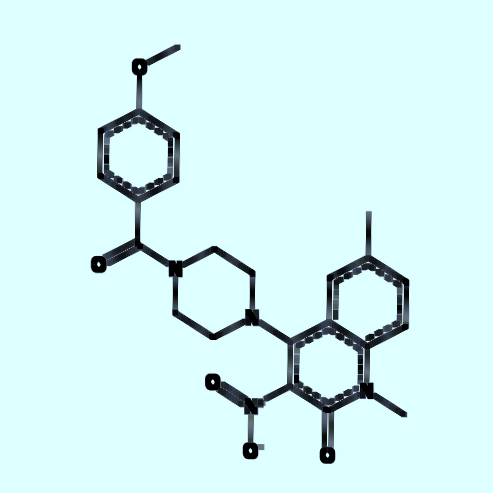 COc1ccc(C(=O)N2CCN(c3c([N+](=O)[O-])c(=O)n(C)c4ccc(C)cc34)CC2)cc1